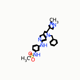 Cn1cc(-c2cc3cnc(Nc4cccc(NS(C)(=O)=O)c4)cc3n2Cc2ccccc2)cn1